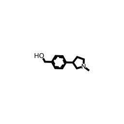 CN1CCC(c2ccc(CO)cc2)C1